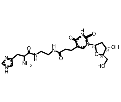 NC(Cc1c[nH]cn1)C(=O)NCCNC(=O)CCc1cn([C@H]2C[C@H](O)[C@@H](CO)O2)c(=O)[nH]c1=O